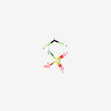 FCF.O=S(=O)(O)Cl